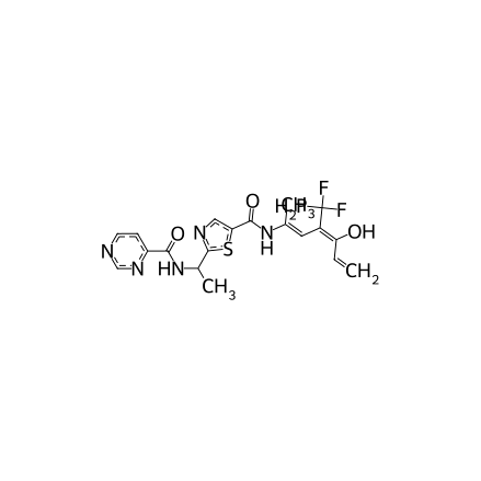 C=C/C(O)=C(\C=C(/C)NC(=O)c1cnc(C(C)NC(=O)c2ccncn2)s1)C(F)(F)P